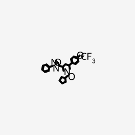 O=C(C1CCCC1)N1CC(c2ccc(OC(F)(F)F)cc2)CC(c2nc(-c3ccccc3)no2)C1